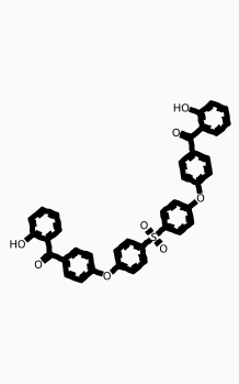 O=C(c1ccc(Oc2ccc(S(=O)(=O)c3ccc(Oc4ccc(C(=O)c5ccccc5O)cc4)cc3)cc2)cc1)c1ccccc1O